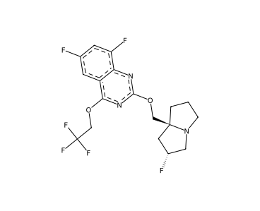 Fc1cc(F)c2nc(OC[C@@]34CCCN3C[C@H](F)C4)nc(OCC(F)(F)F)c2c1